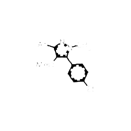 CCc1ccc(-c2c(OC)c(C(C)=O)nn2C)cc1